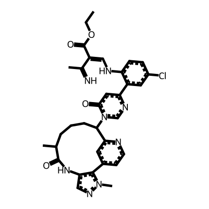 CCOC(=O)/C(=C/Nc1ccc(Cl)cc1-c1cc(=O)n(C2CCCC(C)C(=O)Nc3cnn(C)c3-c3ccnc2c3)cn1)C(C)=N